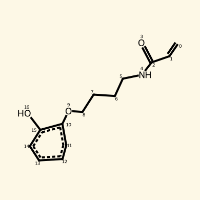 C=CC(=O)NCCCCOc1ccccc1O